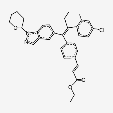 CCOC(=O)/C=C/c1ccc(/C(=C(/CC)c2ccc(Cl)cc2I)c2ccc3c(cnn3C3CCCCO3)c2)cc1